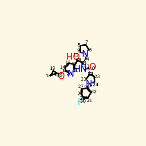 O=C(N[C@H](CN1CCCC1)[C@H](O)c1ccc(OC2CC2)nc1)[C@@H]1CCN(c2ccc(F)cc2)C1